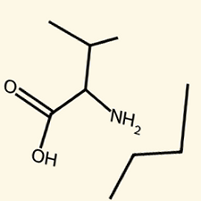 CC(C)C(N)C(=O)O.CCCC